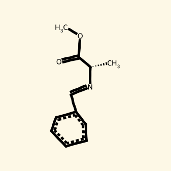 COC(=O)[C@H](C)N=Cc1ccccc1